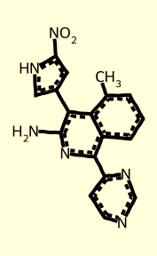 Cc1cccc2c(-c3ccncn3)nc(N)c(-c3c[nH]c([N+](=O)[O-])c3)c12